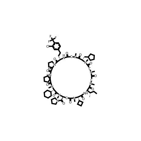 CC[C@H](C)[C@@H]1NC(=O)[C@H](C2CCC2)N(C)C(=O)C[C@@H](C(=O)N2CCCC2)N(C)C(=O)[C@H](C2CCCCC2)N(C)C(=O)C2(CCCC2)NC(=O)[C@@H]2CCCN2C(=O)[C@H](CCc2ccc(C(F)(F)F)c(Cl)c2)NC(=O)CN(C)C(=O)[C@H](CC2CCCC2)N(C)C(=O)CN(C)C(=O)CN(C)C1=O